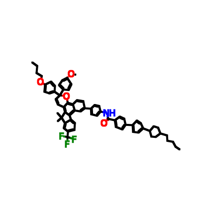 CCCCCC1CCC(c2ccc(-c3ccc(C(=O)Nc4ccc(-c5ccc6c7c(c8c(c6c5)-c5ccc(C(F)(F)F)cc5C8(C)C)C=CC(c5ccc(OC)cc5)(c5ccc(OCCCC)cc5)O7)cc4)cc3)cc2)CC1